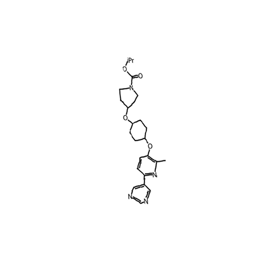 Cc1nc(-c2cncnc2)ccc1OC1CCC(OC2CCN(C(=O)OC(C)C)CC2)CC1